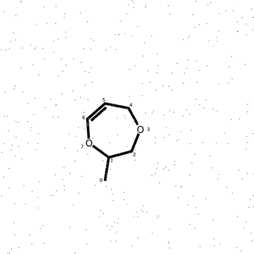 CC1COCC=CO1